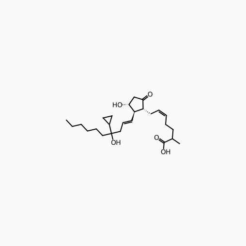 CCCCCCC(O)(C/C=C/[C@H]1[C@H](O)CC(=O)[C@@H]1C/C=C\CCC(C)C(=O)O)C1CC1